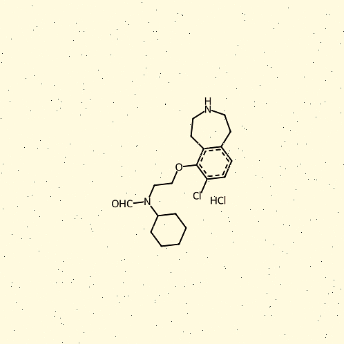 Cl.O=CN(CCOc1c(Cl)ccc2c1CCNCC2)C1CCCCC1